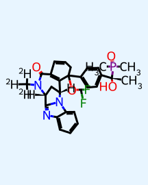 [2H]C([2H])([2H])N1C(=O)C2=C([C@H]3C[C@@H]1c1nc4ccccc4n13)C(OC(F)F)(c1ccc([C@@](C)(O)P(C)(C)=O)cc1)CC=C2